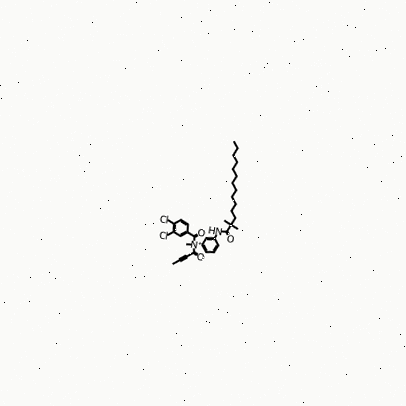 CC#CC(=O)[N+](C)(C(=O)c1ccc(Cl)c(Cl)c1)c1cccc(NC(=O)C(C)(C)CCCCCCCCCCCC)c1